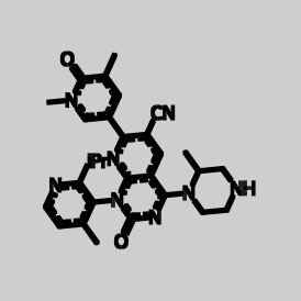 Cc1ccnc(C(C)C)c1-n1c(=O)nc(N2CCNCC2C)c2cc(C#N)c(-c3cc(C)c(=O)n(C)c3)nc21